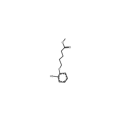 COC(=O)CCCCOc1ccccc1S